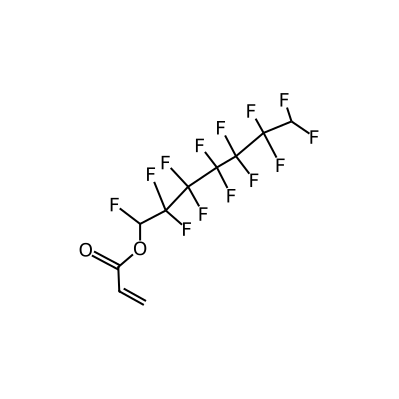 C=CC(=O)OC(F)C(F)(F)C(F)(F)C(F)(F)C(F)(F)C(F)(F)C(F)F